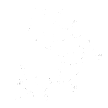 COc1cccc2c1C(=O)c1c(O)c3c(c(O)c1C2=O)C[C@@](O)(C(=O)CO)C[C@@H]3OC1CC(NOC(=O)c2cc(=O)[nH]c(=O)[nH]2)C(O)C(C)O1